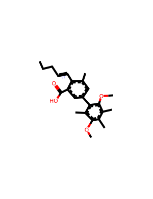 CCC/C=C/c1c(C)cc(-c2c(C)c(OC)c(C)c(C)c2OC)cc1C(=O)O